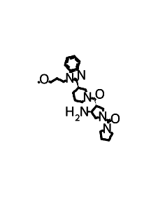 COCCCn1c([C@@H]2CCCN(C(=O)[C@@H]3CN(C(=O)N4CCCC4)C[C@H]3N)C2)nc2ccccc21